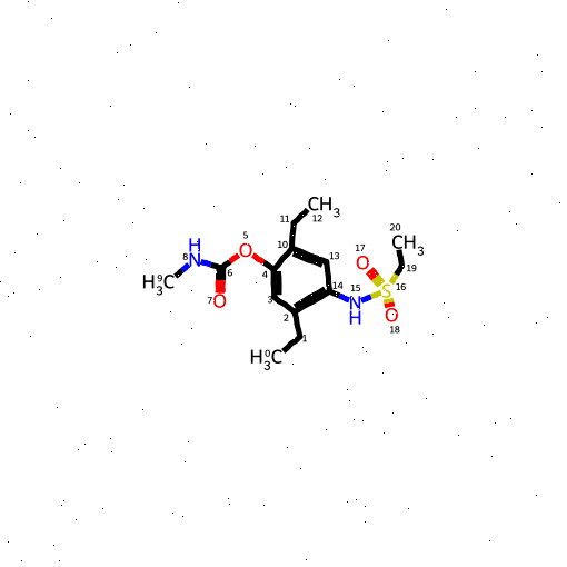 CCc1cc(OC(=O)NC)c(CC)cc1NS(=O)(=O)CC